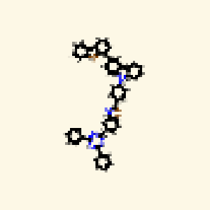 c1ccc(-c2nc(-c3ccccc3)nc(-c3ccc4sc(-c5ccc(-n6c7ccccc7c7cc(-c8cccc9c8sc8ccccc89)ccc76)cc5)nc4c3)n2)cc1